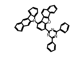 c1ccc(-c2nc(-c3ccccc3)nc(-c3ccc(-n4c5ccccc5c5cc6ccccc6cc54)c4c3oc3c5ccccc5ccc34)n2)cc1